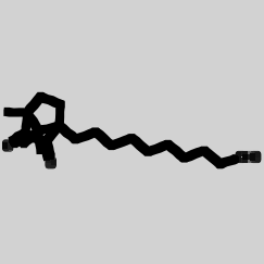 CC12CCC(CCCCCCCCCC=O)(C(=O)C1=O)C2(C)C